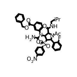 CC(=O)N1C(C(=O)NCC(C)C)C(N(C(N)=O)c2cccc(C(=O)OCc3ccccc3)c2)C(S(=O)(=O)c2ccc([N+](=O)[O-])cc2)C1c1ccccc1F